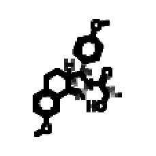 COc1ccc([C@H]2[C@H]3CCc4ccc(OC)cc4C3=NN2C(=O)[C@H](C)O)cc1